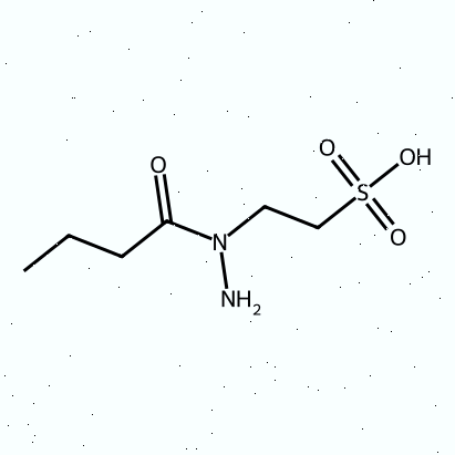 CCCC(=O)N(N)CCS(=O)(=O)O